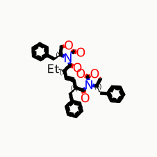 CC[C@@H](C=C[C@H](Cc1ccccc1)C(=O)N1C(=O)OC[C@@H]1Cc1ccccc1)C(=O)N1C(=O)OC[C@@H]1Cc1ccccc1